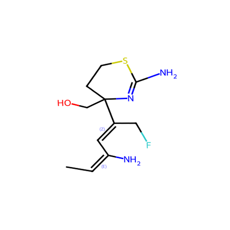 C/C=C(N)\C=C(/CF)C1(CO)CCSC(N)=N1